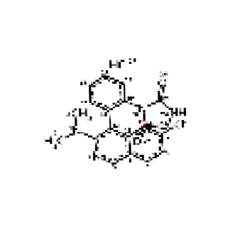 CN(C)c1ncc2ccc(Cl)cc2c1-c1ccccc1N1C(=O)CNC1=O.Cl